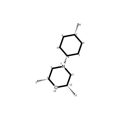 C[C@@H]1CN([C@H]2CC[C@@H](C)CC2)C[C@H](C)O1